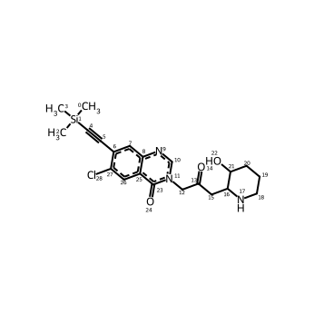 C[Si](C)(C)C#Cc1cc2ncn(CC(=O)CC3NCCCC3O)c(=O)c2cc1Cl